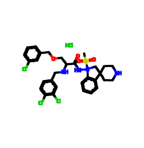 CS(=O)(=O)[N+]1(NC(=O)C(COCc2cccc(Cl)c2)NCc2ccc(Cl)c(Cl)c2)CC2(CCNCC2)c2ccccc21.Cl